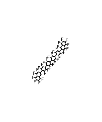 Fc1c(F)c(-c2c(F)c(F)c(-c3c(F)c(F)c(-c4c(F)c(F)c(-c5c(F)c(F)c6c(F)c(F)c(F)c(F)c6c5F)c(F)c4F)c(F)c3F)c(F)c2F)c(F)c(F)c1-c1cc2c(F)c(F)c(F)c(F)c2c(F)c1F